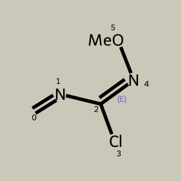 C=N/C(Cl)=N\OC